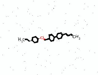 CCCCC1CCC(C2CCC(CO[C@H]3CC[C@H](CCC)CC3)CC2)CC1